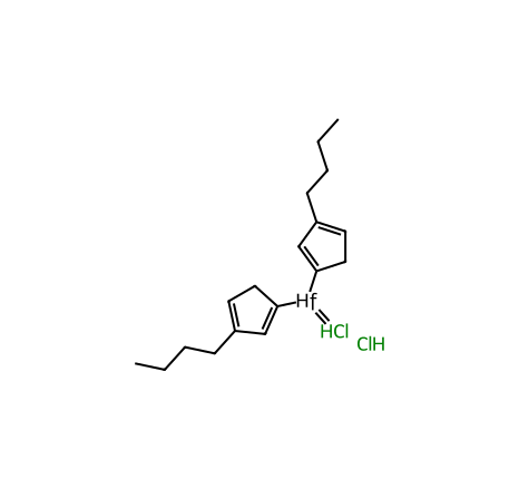 Cl.Cl.[CH2]=[Hf]([C]1=CC(CCCC)=CC1)[C]1=CC(CCCC)=CC1